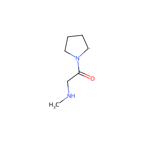 CNCC(=O)N1[CH]CCC1